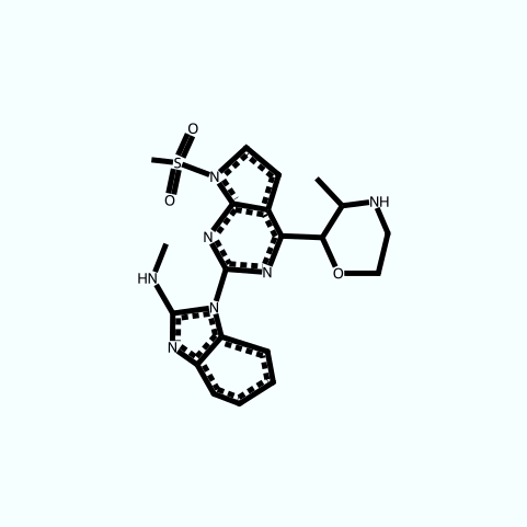 CNc1nc2ccccc2n1-c1nc(C2OCCNC2C)c2ccn(S(C)(=O)=O)c2n1